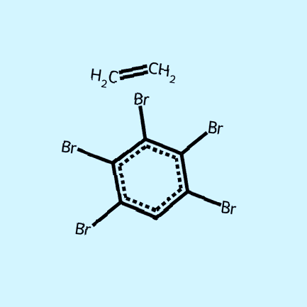 Brc1cc(Br)c(Br)c(Br)c1Br.C=C